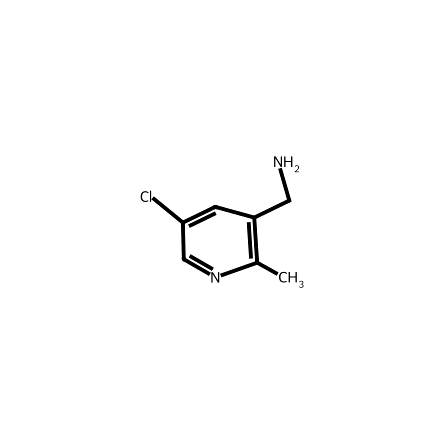 Cc1ncc(Cl)cc1CN